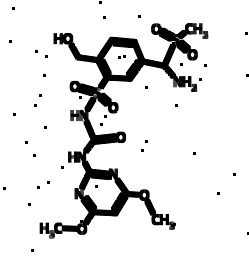 COc1cc(OC)nc(NC(=O)NS(=O)(=O)c2cc(C(N)S(C)(=O)=O)ccc2CO)n1